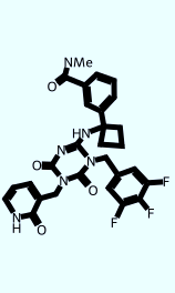 CNC(=O)c1cccc(C2(Nc3nc(=O)n(Cc4ccc[nH]c4=O)c(=O)n3Cc3cc(F)c(F)c(F)c3)CCC2)c1